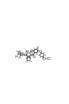 Cc1cc(F)c(OC2CCC(C=O)CC2)cc1C(=O)NC1C2CCC(C2)C1C(=O)NCC1(C)CCC1